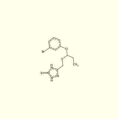 CCC(Oc1cccc(Br)c1)SCc1n[nH]c(=S)[nH]1